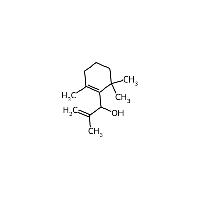 C=C(C)C(O)C1=C(C)CCCC1(C)C